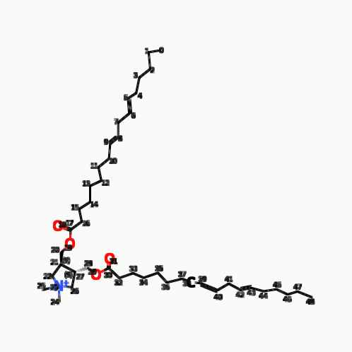 CCCCCC=CCC=CCCCCCCCC(=O)OC[C@@H]1C[N+](C)(C)C[C@H]1COC(=O)CCCCCCCC=CCC=CCCCCC